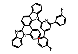 Fc1cccc(-c2cc(-c3cccc(F)c3)nc(-n3c4ccccc4c4ccc5c(c6ccccc6n6c7ccccc7nc56)c43)c2)c1